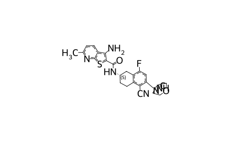 Cc1ccc2c(N)c(C(=O)N[C@H]3CCc4c(C#N)c(N5CC6CNCC5CO6)cc(F)c4C3)sc2n1